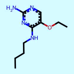 CCCCNc1nc(N)ncc1OCC